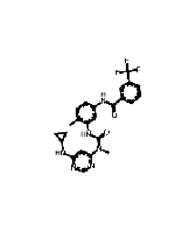 Cc1ccc(NC(=O)c2cccc(C(F)(F)F)c2)cc1NC(=O)N(C)c1cc(NC2CC2)ncn1